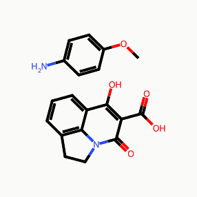 COc1ccc(N)cc1.O=C(O)c1c(O)c2cccc3c2n(c1=O)CC3